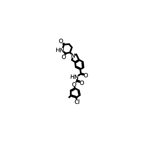 Cc1cc(OC(=O)NC(=O)c2ccc3c(c2)CN(C2CCC(=O)NC2=O)C3)ccc1Cl